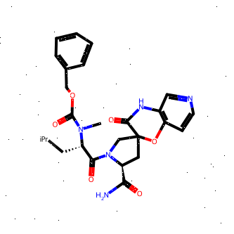 CC(C)C[C@@H](C(=O)N1CC2(C[C@H]1C(N)=O)Oc1ccncc1NC2=O)N(C)C(=O)OCc1ccccc1